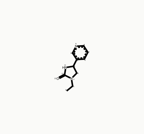 CCN1CC(c2cccnc2)NC1=O